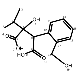 CC(C)C(O)(C(=O)O)C(C(=O)O)c1ccccc1CO